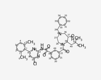 Cc1cccc(C)c1-c1cc(Cl)nc(NS(=O)(=O)c2cccc(C(=O)N3CCN(Cc4ccccc4)CC(O)C3CC(C)C)c2)n1